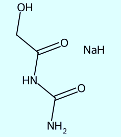 NC(=O)NC(=O)CO.[NaH]